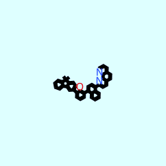 CC1(C)c2ccccc2-c2cc3c(cc21)oc1c(-c2ccc(-c4ccc5ccc6cccnc6c5n4)c4ccccc24)cccc13